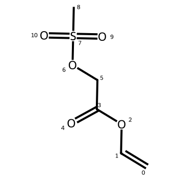 C=COC(=O)COS(C)(=O)=O